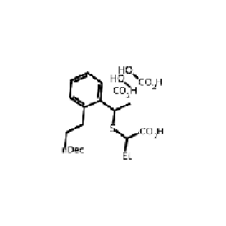 CCCCCCCCCCCCc1ccccc1C(C)SC(CC)C(=O)O.O=C(O)O.O=C(O)O